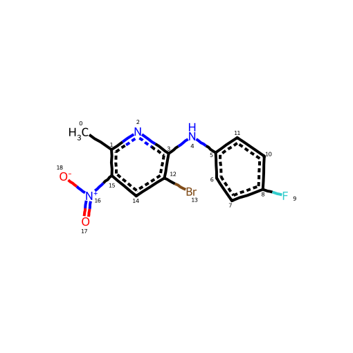 Cc1nc(Nc2ccc(F)cc2)c(Br)cc1[N+](=O)[O-]